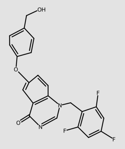 O=c1ncn(Cc2c(F)cc(F)cc2F)c2ccc(Oc3ccc(CO)cc3)cc12